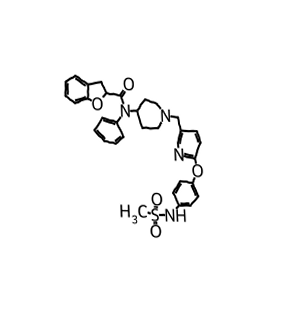 CS(=O)(=O)Nc1ccc(Oc2ccc(CN3CCC(N(C(=O)C4Cc5ccccc5O4)c4ccccc4)CC3)cn2)cc1